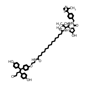 Cc1ncsc1-c1ccc(CNC(=O)[C@@H]2C[C@@H](O)CN2C(=O)C(NC(=O)CCCCCCCCCCCCCCC(=O)NCCOc2ccc(C(=C(CCCl)c3ccc(O)cc3)c3ccc(O)cc3)cc2)C(C)(C)C)cc1